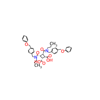 CCCN(Cc1ccc(COc2ccccc2)cc1)C(=O)[C@H]1[C@@H](C(=O)O)[C@H](C(=O)O)[C@@H]1C(=O)N(CCC)Cc1ccc(COc2ccccc2)cc1